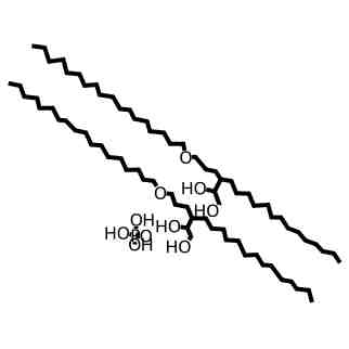 CCCCCCCCCCCCCCCCCCOCCCC(CCCCCCCCCCCCCC)C(O)CO.CCCCCCCCCCCCCCCCCCOCCCC(CCCCCCCCCCCCCC)C(O)CO.O=P(O)(O)O